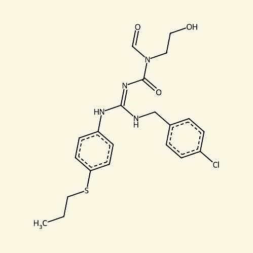 CCCSc1ccc(N/C(=N/C(=O)N(C=O)CCO)NCc2ccc(Cl)cc2)cc1